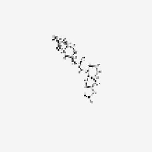 C=C(C)Cc1ccc2c(CC(=O)Oc3ccc4sc(=O)oc4c3)cccc2c1